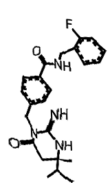 CC(C)[C@]1(C)CC(=O)N(Cc2ccc(C(=O)NCc3ccccc3F)cc2)C(=N)N1